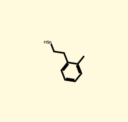 Cc1ccccc1C[CH2][SnH]